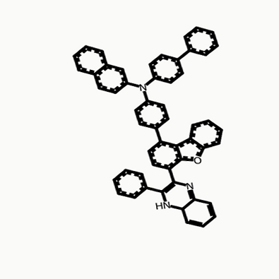 C1=CC2=NC(c3ccc(-c4ccc(N(c5ccc(-c6ccccc6)cc5)c5ccc6ccccc6c5)cc4)c4c3oc3ccccc34)=C(c3ccccc3)NC2C=C1